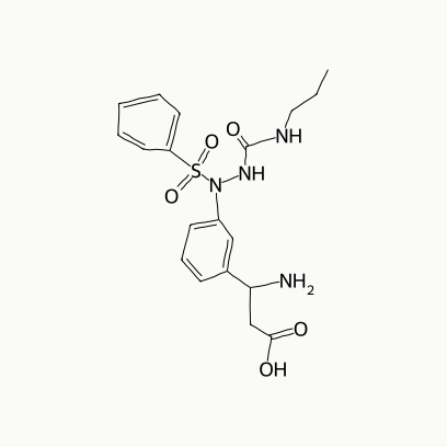 CCCNC(=O)NN(c1cccc(C(N)CC(=O)O)c1)S(=O)(=O)c1ccccc1